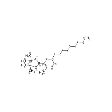 CCCCCCCCCc1ccc(C)c(B2OC(C)(C)C(C)(C)O2)c1